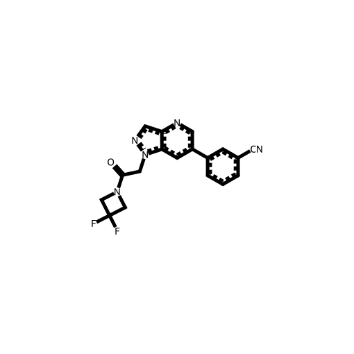 N#Cc1cccc(-c2cnc3cnn(CC(=O)N4CC(F)(F)C4)c3c2)c1